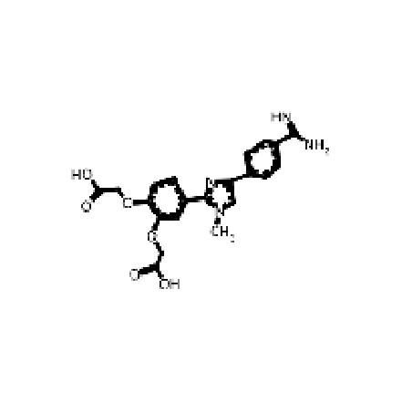 Cn1cc(-c2ccc(C(=N)N)cc2)nc1-c1ccc(OCC(=O)O)c(OCC(=O)O)c1